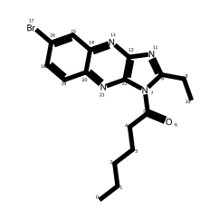 CCCCCC(=O)n1c(CC)nc2nc3cc(Br)ccc3nc21